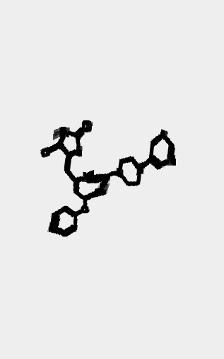 O=C1NC(=O)C(=Cc2cc(Oc3ccccc3)nc(N3CCN(c4cncnc4)CC3)n2)S1